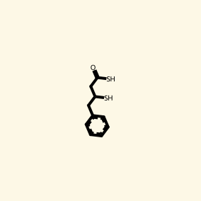 O=C(S)CC(S)Cc1ccccc1